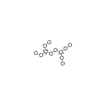 c1ccc(-c2ccc(-c3cc(-c4cccc(-c5cccc(-c6nc(-c7cccc(-c8ccccc8)c7)nc(-c7cccc(-c8ccccc8)c7)n6)c5)c4)nc(-c4ccc(-c5ccccc5)cc4)n3)cc2)cc1